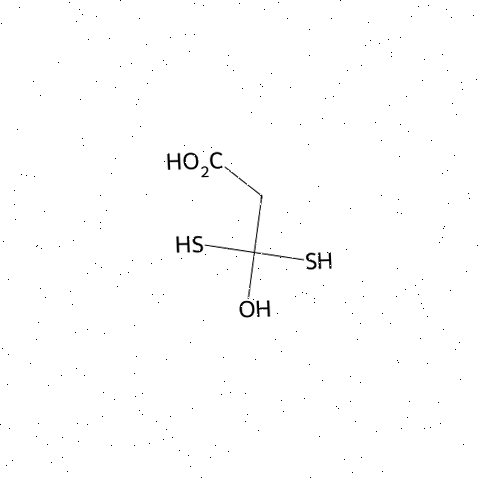 O=C(O)CC(O)(S)S